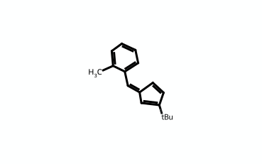 Cc1ccccc1C=C1C=CC(C(C)(C)C)=C1